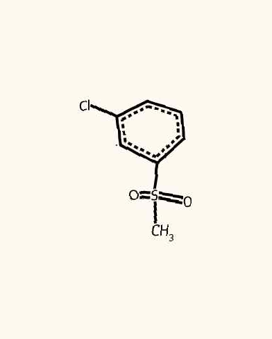 CS(=O)(=O)c1[c]c(Cl)ccc1